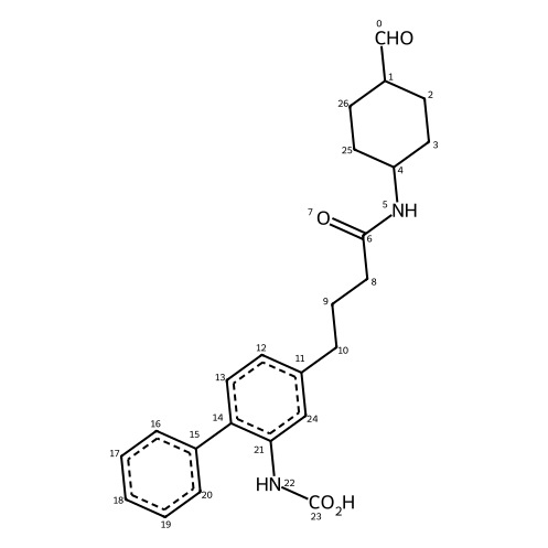 O=CC1CCC(NC(=O)CCCc2ccc(-c3ccccc3)c(NC(=O)O)c2)CC1